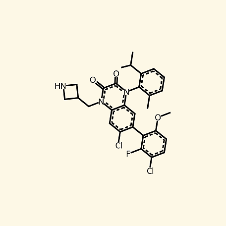 COc1ccc(Cl)c(F)c1-c1cc2c(cc1Cl)n(CC1CNC1)c(=O)c(=O)n2-c1c(C)cccc1C(C)C